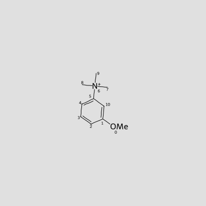 COc1cccc([N+](C)(C)C)c1